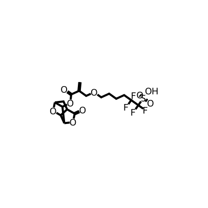 C=C(COCCCCC(F)(F)C(F)(F)S(=O)(=O)O)C(=O)OC1C2CC3C(=O)OC1C3O2